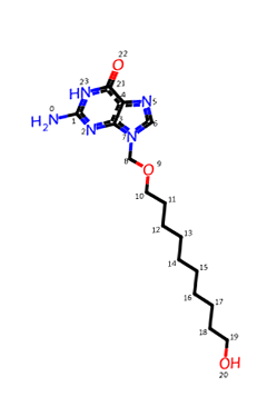 Nc1nc2c(ncn2COCCCCCCCCCCO)c(=O)[nH]1